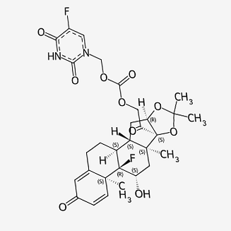 CC1(C)O[C@@H]2C[C@H]3[C@@H]4CCC5=CC(=O)C=C[C@]5(C)[C@@]4(F)[C@@H](O)C[C@]3(C)[C@]2(C(=O)COC(=O)OCn2cc(F)c(=O)[nH]c2=O)O1